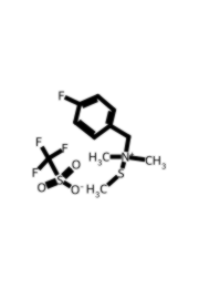 CS[N+](C)(C)Cc1ccc(F)cc1.O=S(=O)([O-])C(F)(F)F